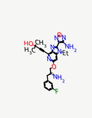 CCn1c(-c2nonc2N)nc2c(C#CC(C)(C)O)nc(OC[C@H](N)Cc3cccc(F)c3)cc21